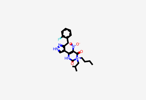 CCCC[N+]1(CC(C)C)C(=O)NC(c2c[nH]nc2Cc2ccccc2F)=C([N+](=O)[O-])C1=O